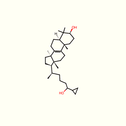 C[C@H](CCCC(O)C1CC1)[C@H]1CC[C@@]2(C)C3=C(CC[C@]12C)[C@@]1(C)CC[C@H](O)C(C)(C)[C@@H]1CC3